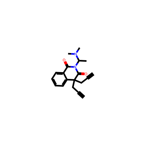 C#CCC1(CC#C)C(=O)N(C(C)N(C)C)C(=O)c2ccccc21